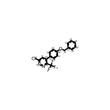 FC(F)(F)c1nnc(Cl)cc1-c1ccc(OCc2ccccc2)cc1